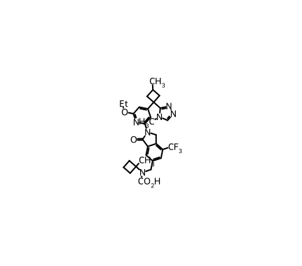 CCOc1cc(C2(c3nncn3C)CC(C)C2)cc(N2Cc3c(cc(CN(C(=O)O)C4(C)CCC4)cc3C(F)(F)F)C2=O)n1